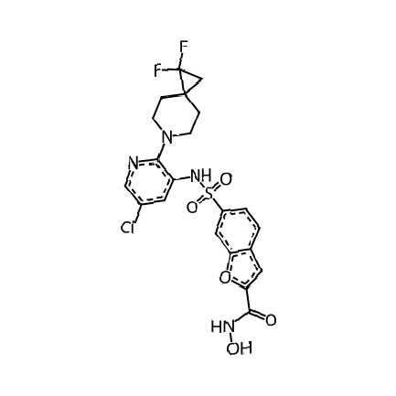 O=C(NO)c1cc2ccc(S(=O)(=O)Nc3cc(Cl)cnc3N3CCC4(CC3)CC4(F)F)cc2o1